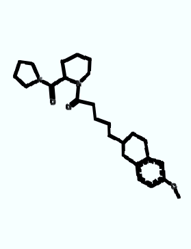 COc1ccc2c(c1)CCC(CCCCC(=O)N1CCCCC1C(=O)N1CCCC1)C2